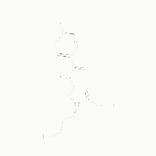 O=C(Nc1cc(C(=O)O)n(CCCO)c1)c1ccc(Cl)cc1F